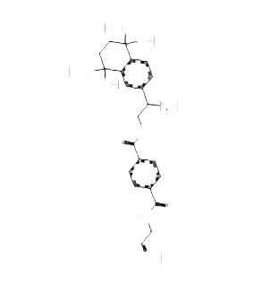 C=CCOC(=O)c1ccc(C(=O)OCC(N)c2ccc3c(c2)C(C)(C)CCC3(C)C)cc1